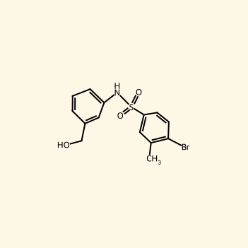 Cc1cc(S(=O)(=O)Nc2cccc(CO)c2)ccc1Br